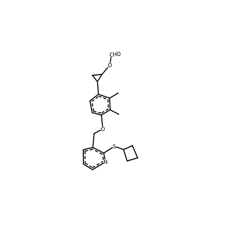 Cc1c(OCc2cccnc2SC2CCC2)ccc(C2CC2OC=O)c1C